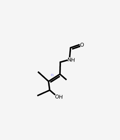 C/C(CNC=O)=C(/C)C(C)O